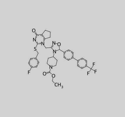 CCOC(=O)N1CCC(N2C(Cn3c(SCc4ccc(F)cc4)nc(=O)c4c3CCC4)=NOC2c2ccc(-c3ccc(C(F)(F)F)cc3)cc2)CC1